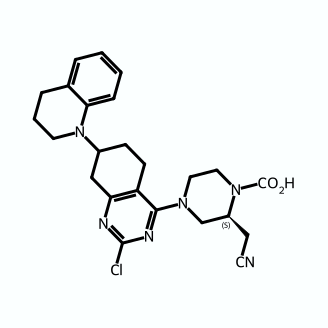 N#CC[C@H]1CN(c2nc(Cl)nc3c2CCC(N2CCCc4ccccc42)C3)CCN1C(=O)O